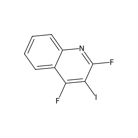 Fc1nc2ccccc2c(F)c1I